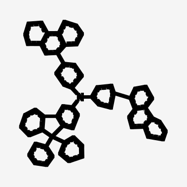 c1ccc(C2(c3ccccc3)c3ccccc3-c3cc(N(c4ccc(-c5cccc6c5ccc5ccccc56)cc4)c4ccc(-c5cc6ccccc6c6ccccc56)cc4)ccc32)cc1